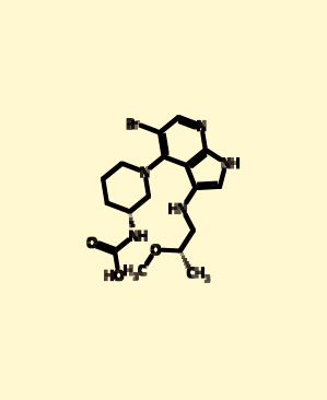 CO[C@@H](C)CNc1c[nH]c2ncc(Br)c(N3CCC[C@@H](NC(=O)O)C3)c12